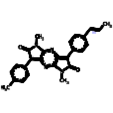 C/C=C/c1ccc(C2=c3nc4c(nc3N(C)C2=O)=C(c2ccc(C)cc2)C(=O)N4C)cc1